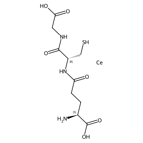 N[C@@H](CCC(=O)N[C@@H](CS)C(=O)NCC(=O)O)C(=O)O.[Ce]